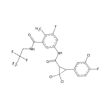 Cc1c(F)cc(NC(=O)C2C(c3ccc(F)c(Cl)c3)C2(Cl)Cl)cc1C(=O)NCC(F)(F)C(F)(F)F